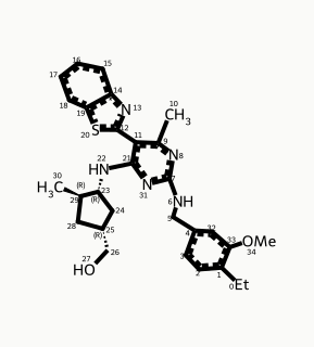 CCc1ccc(CNc2nc(C)c(-c3nc4ccccc4s3)c(N[C@@H]3C[C@H](CO)C[C@H]3C)n2)cc1OC